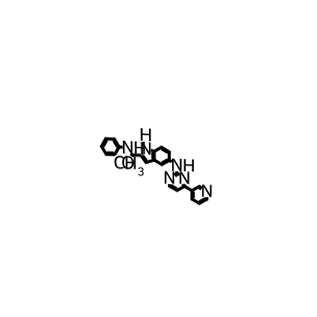 Cc1ccccc1NC(=O)c1cc2cc(Nc3nccc(-c4cccnc4)n3)ccc2[nH]1